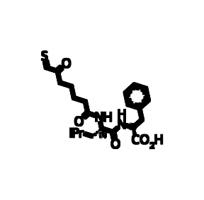 CC(C)C[C@H](NC(=O)CCCCC(=O)C=S)C(=O)N[C@@H](Cc1ccccc1)C(=O)O